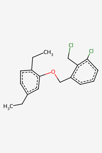 CCc1ccc(CC)c(OCc2cccc(Cl)c2CCl)c1